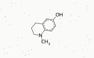 CN1CCCc2cc(O)ccc21